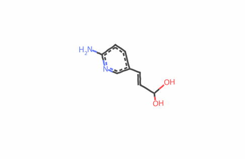 Nc1ccc(/C=C/C(O)O)cn1